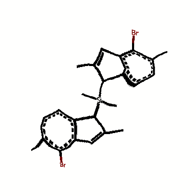 CC1=Cc2c(ccc(C)c2Br)C1[Si](C)(C)C1C(C)=Cc2c1ccc(C)c2Br